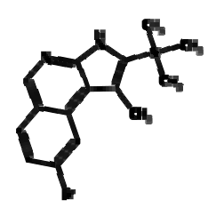 Cc1c([Si](C)(C)C)[nH]c2ncc3ccc(Br)cc3c12